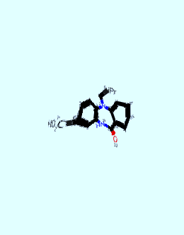 CC(C)CN1c2ccc(C(=O)O)cc2NC(=O)c2ccccc21